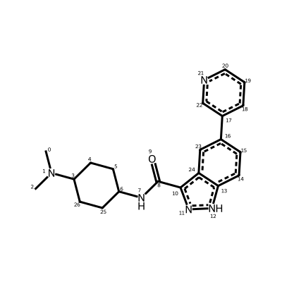 CN(C)C1CCC(NC(=O)c2n[nH]c3ccc(-c4cccnc4)cc23)CC1